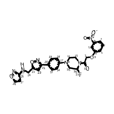 O=C(COc1cccc([N+](=O)[O-])c1)N1CCN(c2ccc(-c3cc(CNc4ccon4)on3)cc2)CC1F